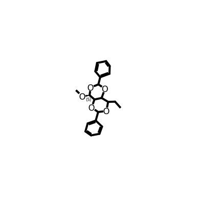 CCC1OC(c2ccccc2)OC2C1OC(c1ccccc1)O[C@@H]2OC